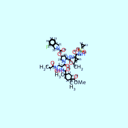 C=CC(=O)N(O)CC(NC(=O)C1(C)CCC(C)(C(=O)OC)CC1)C(=O)N1CC(OC(=O)N2Cc3cccc(F)c3C2)C[C@H]1C(=O)N[C@]1(C(=O)NS(=O)(=O)C2CC2)C[C@H]1C=C